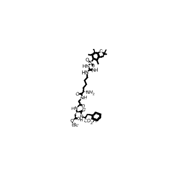 Cc1c(C)c(S(=O)(=O)NC(=N)NCCCC[C@H](N)C(=O)NCC(=O)N[C@@H](CC(=O)OC(C)(C)C)C(=O)N[C@@H](Cc2ccccc2)C(=O)O)c(C)c2c1OC(C)(C)C2